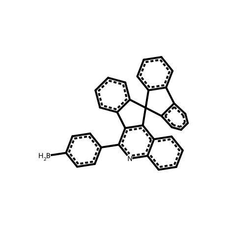 Bc1ccc(-c2nc3ccccc3c3c2-c2ccccc2C32c3ccccc3-c3ccccc32)cc1